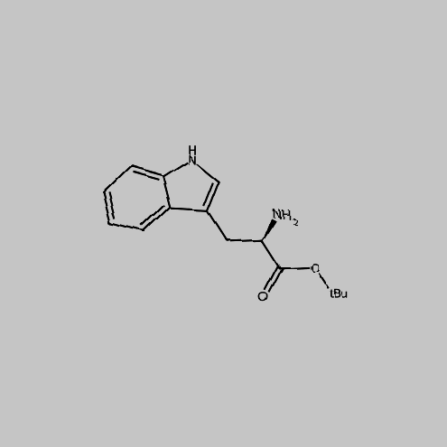 CC(C)(C)OC(=O)[C@H](N)Cc1c[nH]c2ccccc12